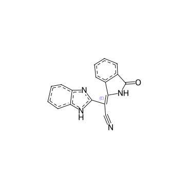 N#C/C(=C1\NC(=O)c2ccccc21)c1nc2ccccc2[nH]1